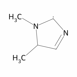 CC1C=N[CH]N1C